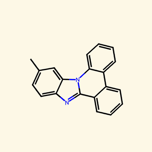 Cc1ccc2nc3c4ccccc4c4ccccc4n3c2c1